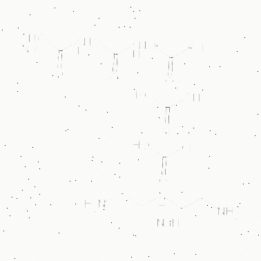 CC(=O)O.CC(=O)O.CC(=O)O.CC(=O)O.CC(=O)O.NCCNCCN.[NaH].[NaH]